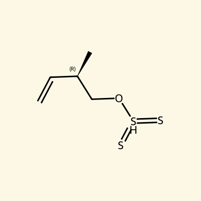 C=C[C@@H](C)CO[SH](=S)=S